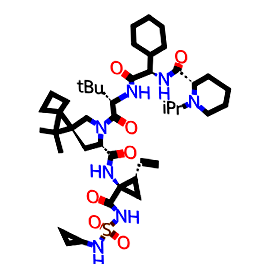 C=C[C@@H]1C[C@]1(NC(=O)[C@@H]1C[C@@]2(CN1C(=O)[C@@H](NC(=O)[C@@H](NC(=O)[C@@H]1CCCCN1C(C)C)C1CCCCC1)C(C)(C)C)C(C)(C)C21CCC1)C(=O)NS(=O)(=O)NC1CC1